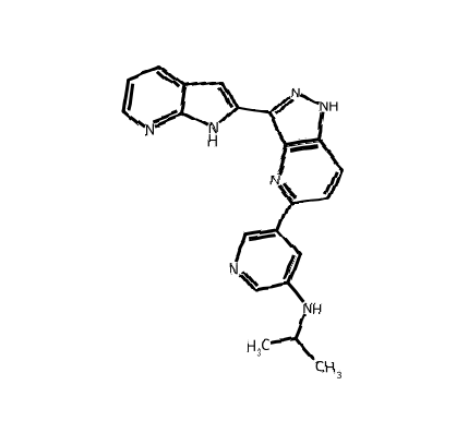 CC(C)Nc1cncc(-c2ccc3[nH]nc(-c4cc5cccnc5[nH]4)c3n2)c1